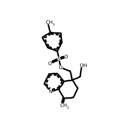 C=C1CCC(CO)(COS(=O)(=O)c2ccc(C)cc2)c2cccnc21